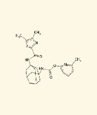 Cc1cccc(OC(=O)NC23CC4CC(C2)CC(NC(=O)c2cc(C)n(C)n2)(C4)C3)n1